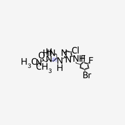 CN(C)C(=O)CN/C=C(\C=N)Nc1ncc(Cl)c(NCc2cc(Br)cc(F)c2F)n1